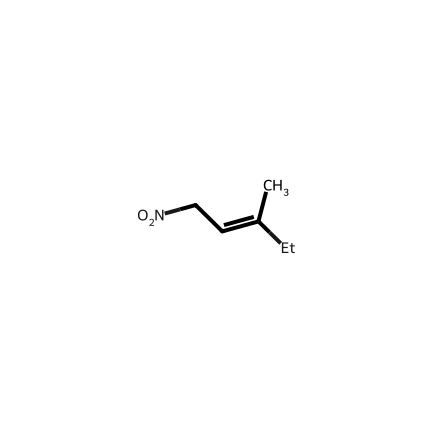 CCC(C)=CC[N+](=O)[O-]